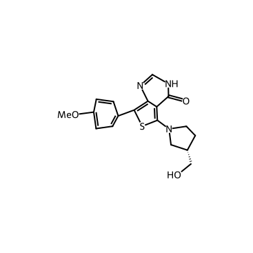 COc1ccc(-c2sc(N3CC[C@H](CO)C3)c3c(=O)[nH]cnc23)cc1